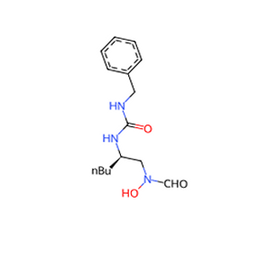 CCCC[C@H](CN(O)C=O)NC(=O)NCc1ccccc1